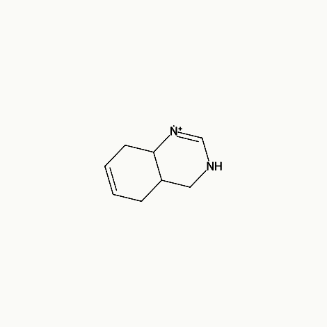 C1=CCC2[N+]=CNCC2C1